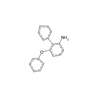 Nc1cccc(Oc2ccccc2)c1-c1ccccc1